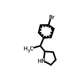 CC(c1ccc(Br)cc1)C1CCCN1